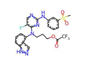 CS(=O)(=O)c1cccc(Nc2ncc(F)c(N(CCCOC(=O)C(F)(F)F)c3cccc4[nH]ncc34)n2)c1